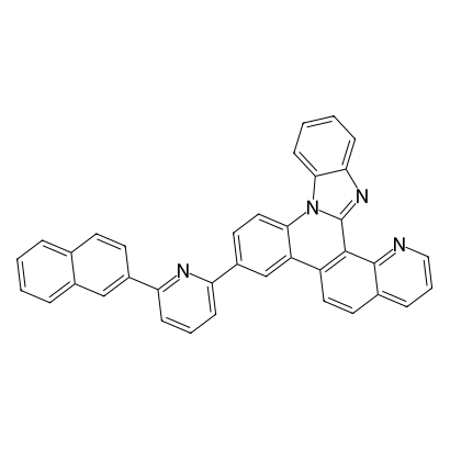 c1cc(-c2ccc3ccccc3c2)nc(-c2ccc3c(c2)c2ccc4cccnc4c2c2nc4ccccc4n32)c1